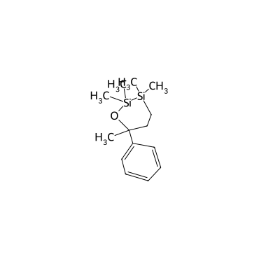 CC1(c2ccccc2)CC[Si](C)(C)[Si](C)(C)O1